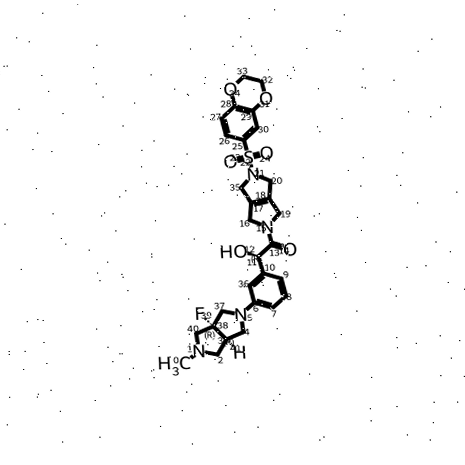 CN1C[C@@H]2CN(c3cccc([C@@H](O)C(=O)N4CC5=C(C4)CN(S(=O)(=O)c4ccc6c(c4)OCCO6)C5)c3)C[C@]2(F)C1